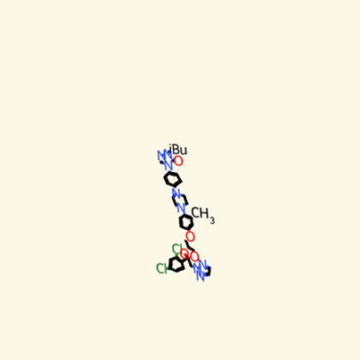 CCC(C)n1ncn(-c2ccc(N3CCN(c4ccc(OCC5COC(Cn6nccn6)(c6ccc(Cl)cc6Cl)O5)cc4C)CC3)cc2)c1=O